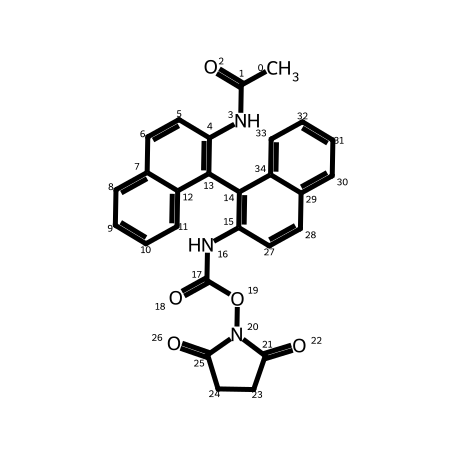 CC(=O)Nc1ccc2ccccc2c1-c1c(NC(=O)ON2C(=O)CCC2=O)ccc2ccccc12